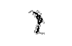 CCCCCCCC(F)C(F)C(F)CC(=O)O[C@H]1CC[C@@]2(C)C(CC[C@H]3[C@@H]4CC[C@H]([C@H](C)CCCC(C)C)[C@@]4(C)CC[C@@H]32)C1